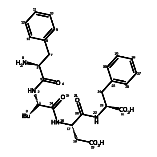 CC[C@H](C)[C@H](NC(=O)[C@@H](N)Cc1ccccc1)C(=O)N[C@@H](CC(=O)O)C(=O)N[C@@H](Cc1ccccc1)C(=O)O